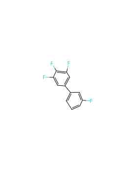 Fc1cccc(-c2cc(F)c(F)c(F)c2)c1